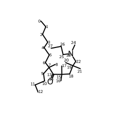 CCCCCCCC(C)(CCCC)C(=O)C(C)(C)CC(C)(C)CN(C)CCC